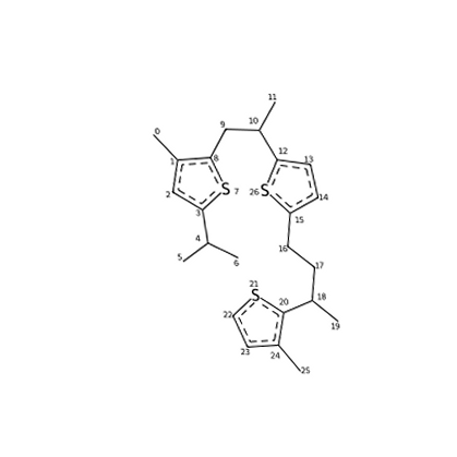 Cc1cc(C(C)C)sc1CC(C)c1ccc(CCC(C)c2sccc2C)s1